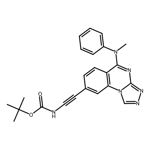 CN(c1ccccc1)c1nc2nncn2c2cc(C#CNC(=O)OC(C)(C)C)ccc12